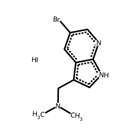 CN(C)Cc1c[nH]c2ncc(Br)cc12.I